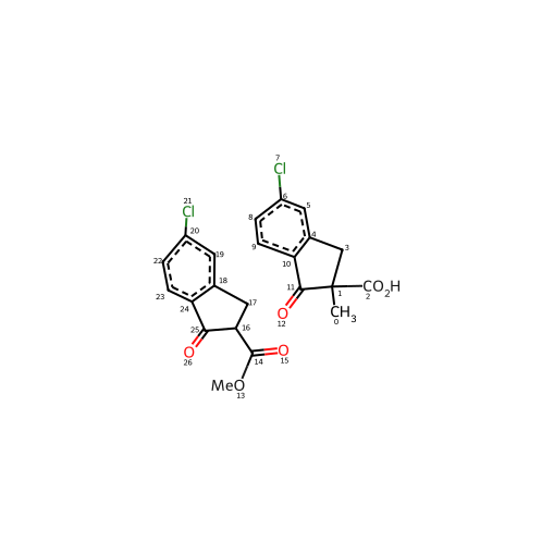 CC1(C(=O)O)Cc2cc(Cl)ccc2C1=O.COC(=O)C1Cc2cc(Cl)ccc2C1=O